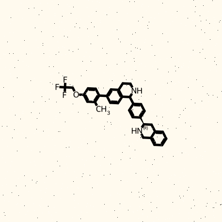 Cc1cc(OCC(F)(F)F)ccc1-c1ccc2c(c1)CCNC2c1ccc([C@H]2Cc3ccccc3[CH]N2)cc1